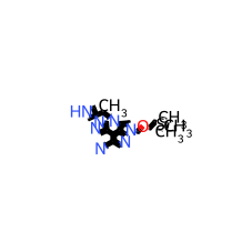 CC(C#N)C1(n2cc(-c3c(C#N)cnc4c3ccn4COCC[Si](C)(C)C)cn2)CNC1